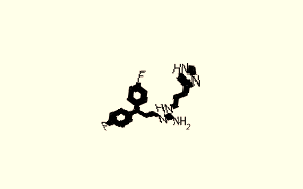 NC(=NCCC(c1ccc(F)cc1)c1ccc(F)cc1)NCCCc1c[nH]cn1